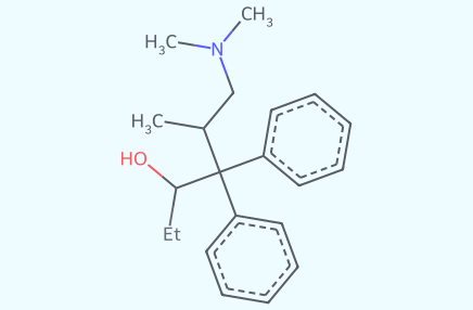 CCC(O)C(c1ccccc1)(c1ccccc1)C(C)CN(C)C